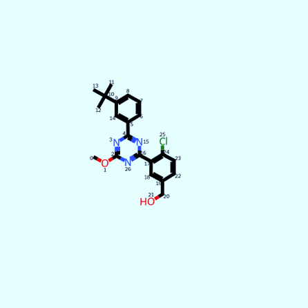 COc1nc(-c2cccc(C(C)(C)C)c2)nc(-c2cc(CO)ccc2Cl)n1